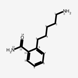 NCCCCCc1ccccc1C(N)=O